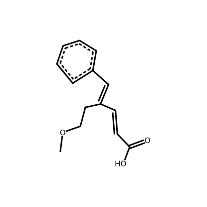 COCCC(/C=C/C(=O)O)=C\c1ccccc1